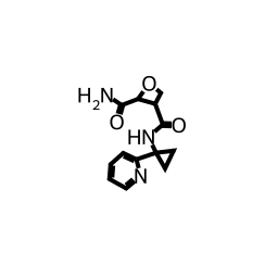 NC(=O)C1OCC1C(=O)NC1(c2ccccn2)CC1